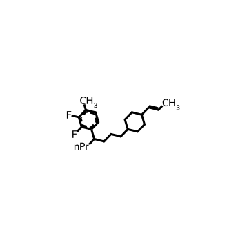 CC=CC1CCC(CCCC(CCC)c2ccc(C)c(F)c2F)CC1